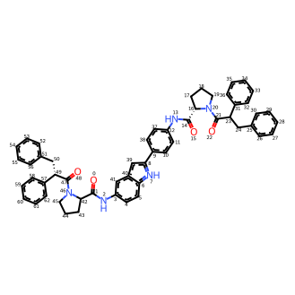 O=C(Nc1ccc2[nH]c(-c3ccc(NC(=O)[C@@H]4CCCN4C(=O)C(Cc4ccccc4)c4ccccc4)cc3)cc2c1)C1CCCN1C(=O)[C@@H](Cc1ccccc1)c1ccccc1